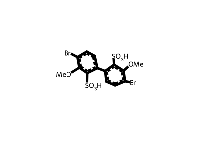 COc1c(Br)ccc(-c2ccc(Br)c(OC)c2S(=O)(=O)O)c1S(=O)(=O)O